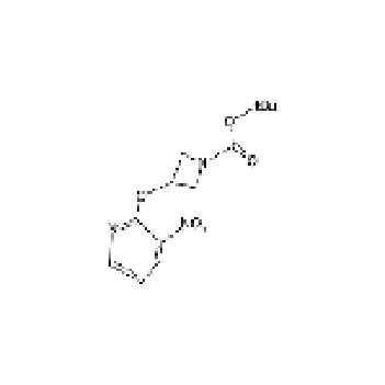 CC(C)(C)OC(=O)N1CC(Oc2ncccc2[N+](=O)[O-])C1